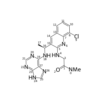 CNC(=O)CNc1nc2c(Cl)cccc2cc1[C@H](C)Nc1ncnc2[nH]cnc12